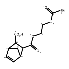 CCC(C)C(=O)OCCOC(=O)C1C2C=CC(C2)C1C(=O)O